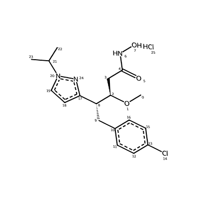 CO[C@H](CC(=O)NO)[C@H](Cc1ccc(Cl)cc1)c1ccn(C(C)C)n1.Cl